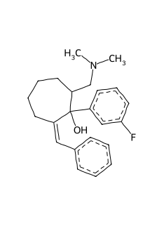 CN(C)CC1CCCC/C(=C/c2ccccc2)C1(O)c1cccc(F)c1